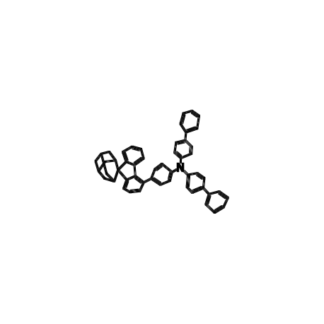 c1ccc(-c2ccc(N(c3ccc(-c4ccccc4)cc3)c3ccc(-c4cccc5c4-c4ccccc4C54C5CC6CC(C5)CC4C6)cc3)cc2)cc1